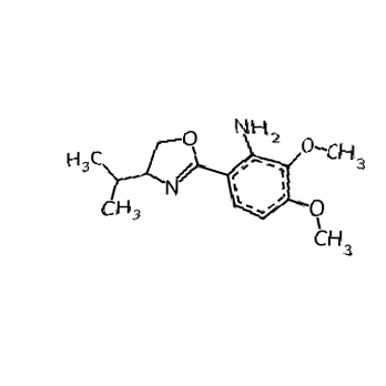 COc1ccc(C2=NC(C(C)C)CO2)c(N)c1OC